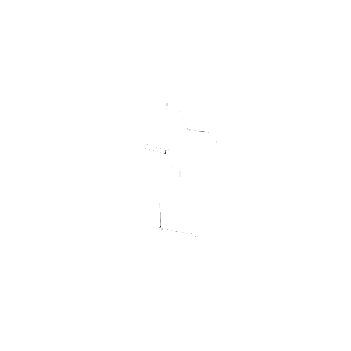 C=C(N)CNC(=C)C(CCC)CCC